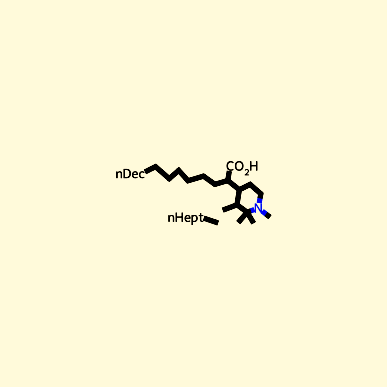 CCCCCCCC.CCCCCCCCCCCCCCCCC(C(=O)O)C1CCN(C)C(C)(C)C1C